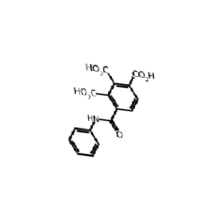 O=C(O)c1ccc(C(=O)Nc2ccccc2)c(C(=O)O)c1C(=O)O